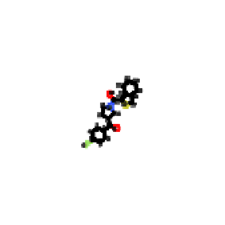 O=C(c1ccc(F)cc1)C1CCN(C(=O)c2scc3ccccc23)C1